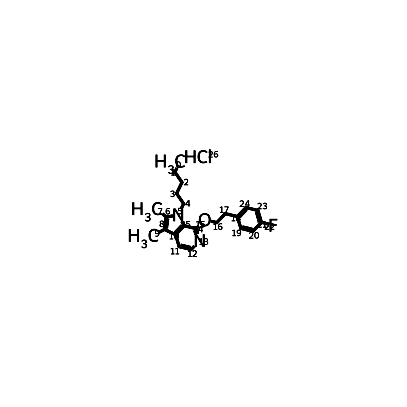 CCCCCn1c(C)c(C)c2ccnc(OCCc3ccc(F)cc3)c21.Cl